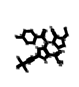 CCN1CC[C@H](N(C(=O)C2CCC(C)CC2)c2cc(C#CC(C)(C)C)sc2C(=O)O)C1=O